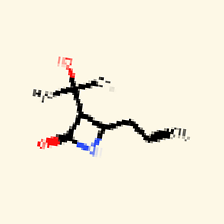 C=CCC1NC(=O)C1C(C)(C)O